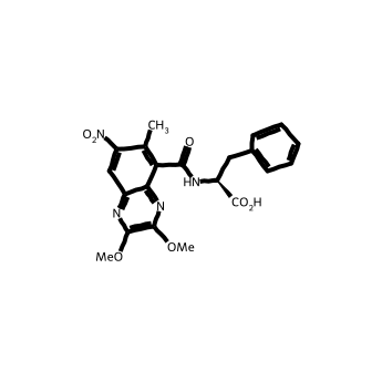 COc1nc2cc([N+](=O)[O-])c(C)c(C(=O)N[C@@H](Cc3ccccc3)C(=O)O)c2nc1OC